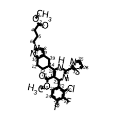 COC(=O)CCCn1cc2c(n1)CCC(C1=C(C(=O)OC)C(c3ccc(F)c(F)c3Cl)N=C(c3nccs3)N1)C2